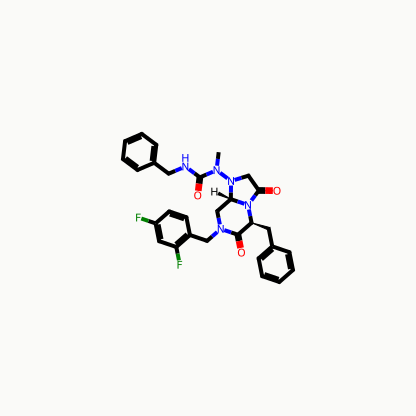 CN(C(=O)NCc1ccccc1)N1CC(=O)N2[C@@H](Cc3ccccc3)C(=O)N(Cc3ccc(F)cc3F)C[C@@H]21